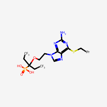 CC(C)CSc1nc(N)nc2c1ncn2CCOC(CC(F)(F)F)(CC(F)(F)F)P(=O)(O)O